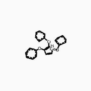 C1=[CH][GeH]([O]c2ccccc2)[C](Oc2ccccc2)=C1Oc1ccccc1